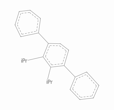 CC(C)c1c(-c2ccccc2)ccc(-c2ccccc2)c1C(C)C